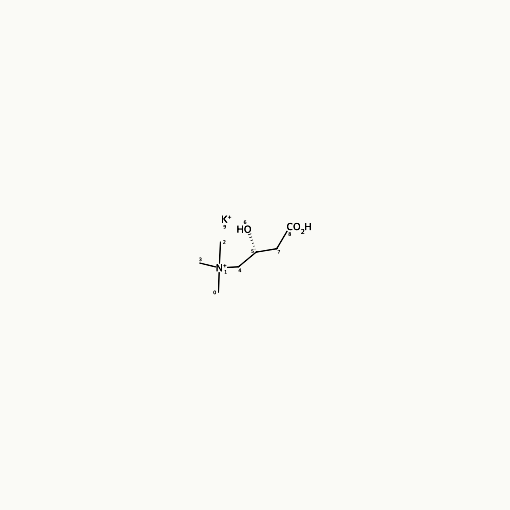 C[N+](C)(C)C[C@H](O)CC(=O)O.[K+]